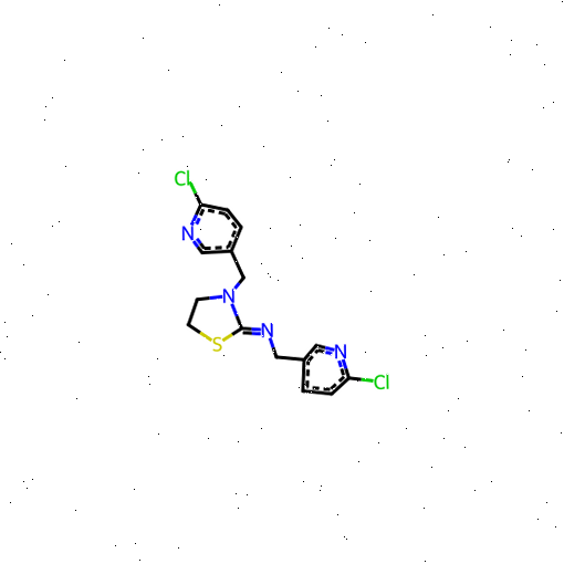 Clc1ccc(C/N=C2\SCCN2Cc2ccc(Cl)nc2)cn1